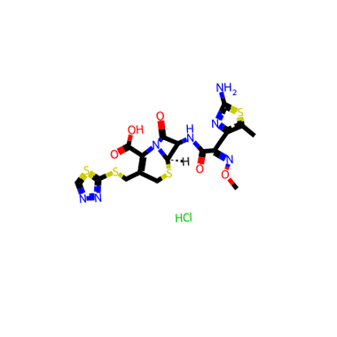 CO/N=C(\C(=O)NC1C(=O)N2C(C(=O)O)=C(CSc3nncs3)CS[C@H]12)c1nc(N)sc1C.Cl